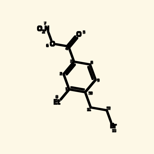 CCc1cc(C(=O)O[N+](=O)[O-])ccc1CCBr